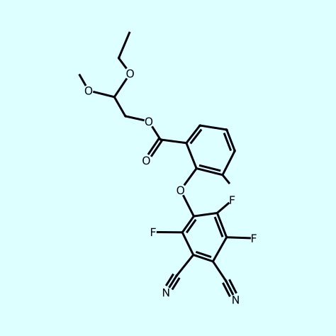 CCOC(COC(=O)c1cccc(C)c1Oc1c(F)c(F)c(C#N)c(C#N)c1F)OC